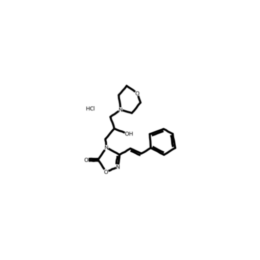 Cl.O=c1onc(C=Cc2ccccc2)n1CC(O)CN1CCOCC1